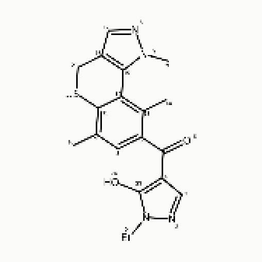 CCn1ncc(C(=O)c2cc(C)c3c(c2C)-c2c(cnn2C)CS3)c1O